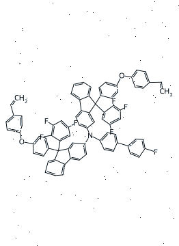 C=Cc1ccc(Oc2ccc(C3(c4cc(F)cc(F)c4F)c4ccccc4-c4ccc(N(c5ccc(-c6ccc(F)cc6)cc5)c5ccc6c(c5)C(c5ccc(Oc7ccc(C=C)cc7)cc5)(c5cc(F)cc(F)c5F)c5ccccc5-6)cc43)cc2)cc1